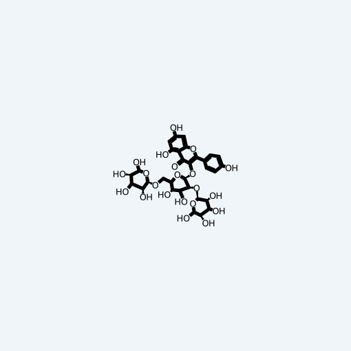 O=c1c(O[C@@H]2OC(CO[C@@H]3OC(O)[C@H](O)C(O)[C@@H]3O)[C@H](O)C(O)[C@@H]2O[C@@H]2OC(O)[C@H](O)C(O)[C@@H]2O)c(-c2ccc(O)cc2)oc2cc(O)cc(O)c12